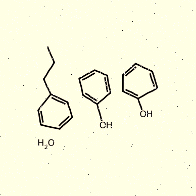 CCCc1ccccc1.O.Oc1ccccc1.Oc1ccccc1